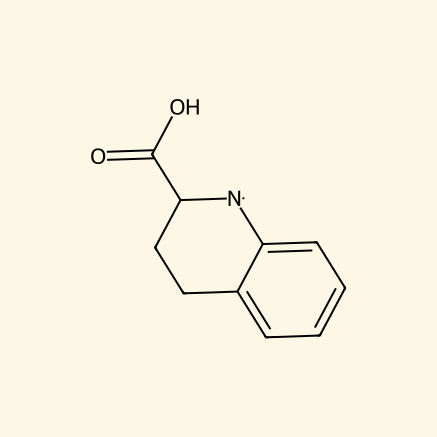 O=C(O)C1CCc2ccccc2[N]1